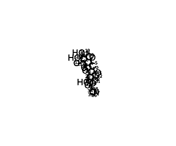 CC1=C(C2=C(C)C(=O)c3c(c(C=O)c(O)c(O)c3C(C)C)C2=O)C(=O)c2cc(O)c(OC(=O)c3cccnc3)c(C(C)C)c2C1=O